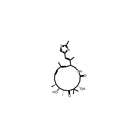 CC(=Cc1csc(C)n1)C1/C=C(C)/C=C\C[C@H](C)[C@H](O)[C@@H](C)C(=O)C(C)(C)[C@@H](O)CC(=O)NC1